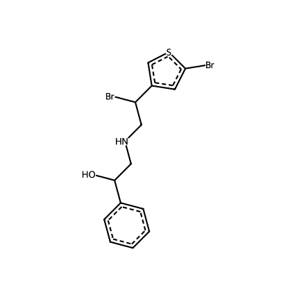 OC(CNCC(Br)c1csc(Br)c1)c1ccccc1